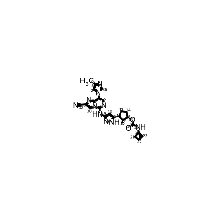 Cc1cn(-c2cnc(Nc3cc([C@H]4CC[C@@H](OC(=O)NC56CC(C5)C6)[C@@H]4F)[nH]n3)n3cc(C#N)nc23)cn1